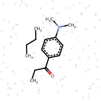 CCC(=O)c1ccc(N(C)C)cc1.CCCC